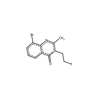 Cc1nc2c(Br)cccc2c(=O)n1CCF